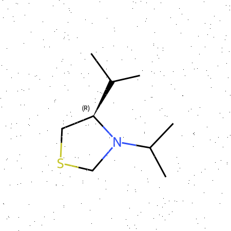 CC(C)[C@@H]1CSCN1C(C)C